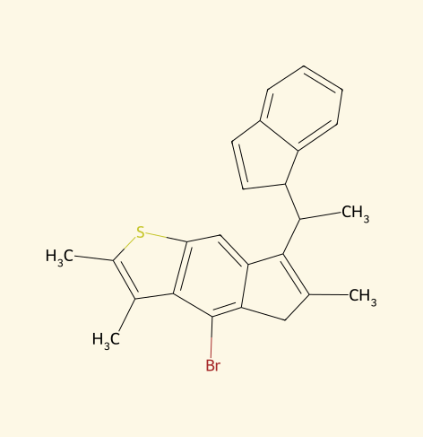 CC1=C(C(C)C2C=Cc3ccccc32)c2cc3sc(C)c(C)c3c(Br)c2C1